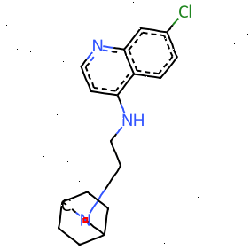 Clc1ccc2c(NCCN3CC4CCC(CC4)C3)ccnc2c1